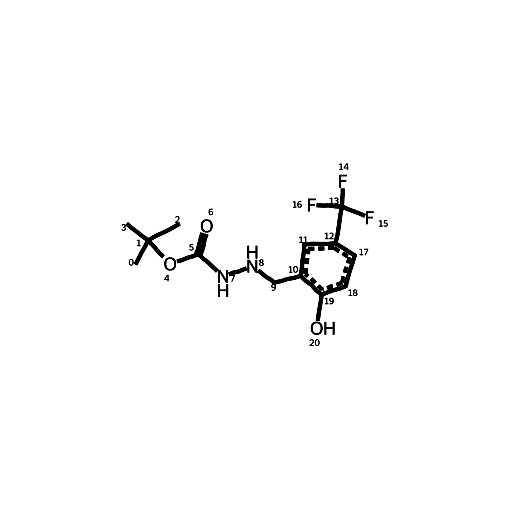 CC(C)(C)OC(=O)NNCc1cc(C(F)(F)F)ccc1O